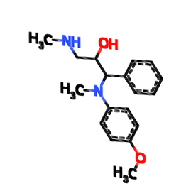 CNCC(O)C(c1ccccc1)N(C)c1ccc(OC)cc1